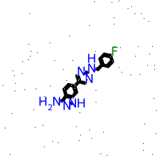 Nc1n[nH]c2cc(-c3cnc(NCc4ccc(F)cc4)nc3)ccc12